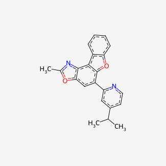 Cc1nc2c(cc(-c3cc(C(C)C)ccn3)c3oc4ccccc4c32)o1